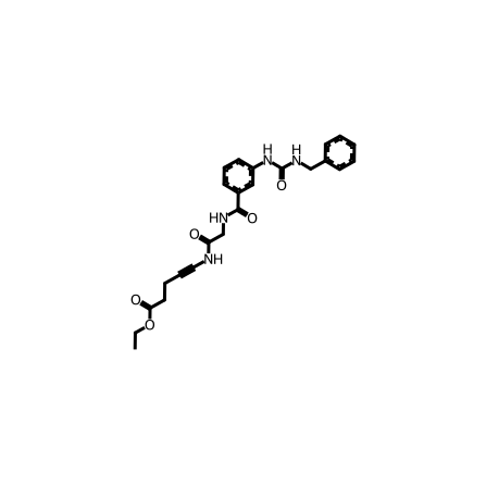 CCOC(=O)CCC#CNC(=O)CNC(=O)c1cccc(NC(=O)NCc2ccccc2)c1